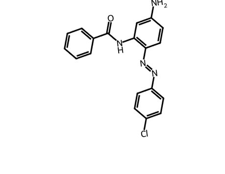 Nc1ccc(N=Nc2ccc(Cl)cc2)c(NC(=O)c2ccccc2)c1